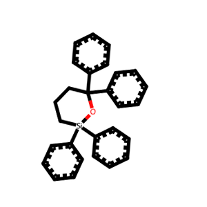 c1ccc(C2(c3ccccc3)CCC[Si](c3ccccc3)(c3ccccc3)O2)cc1